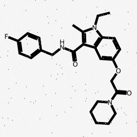 CCn1c(C)c(C(=O)NCc2ccc(F)cc2)c2cc(OCC(=O)N3CCCCC3)ccc21